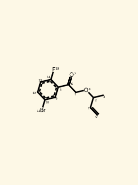 C=CC(C)OCC(=O)c1cc(Br)ccc1F